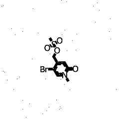 Cn1cc(Br)c(COS(C)(=O)=O)cc1=O